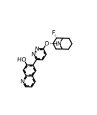 Oc1cc2ncccc2cc1-c1ccc(O[C@H]2CC3CCCC(N3)[C@H]2F)nn1